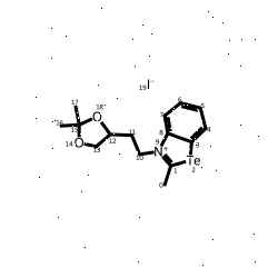 Cc1[te]c2ccccc2[n+]1CCC1COC(C)(C)O1.[I-]